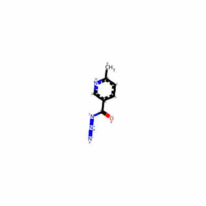 Cc1ccc(C(=O)N=[N+]=[N-])cn1